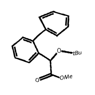 COC(=O)C(OC(C)(C)C)c1ccccc1-c1ccccc1